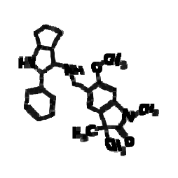 COc1cc2c(cc1CNC1C(c3ccccc3)NC3CCCC31)C(C)(C)C(=O)N2C